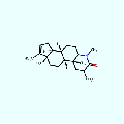 CN1C(=O)C(C(=O)O)C[C@@]2(C)C1CC[C@@H]1[C@H]2CC[C@]2(C)C(C(=O)O)=CC[C@@H]12